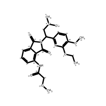 CCOc1nc(C(C[S+](C)[O-])N2C(=O)c3cccc(NC(=O)COC)c3C2=O)ccc1OC